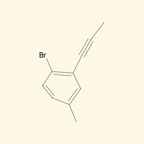 CC#Cc1cc(C)ccc1Br